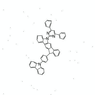 c1ccc(-c2cc(-c3ccccc3)nc(-n3c4ccccc4c4cc5c(cc43)-c3ccccc3C5c3ccc(-n4c5ccccc5c5ccccc54)cc3)n2)cc1